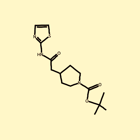 CC(C)(C)OC(=O)N1CCC(CC(=O)Nc2nccs2)CC1